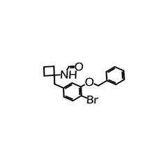 O=CNC1(Cc2ccc(Br)c(OCc3ccccc3)c2)CCC1